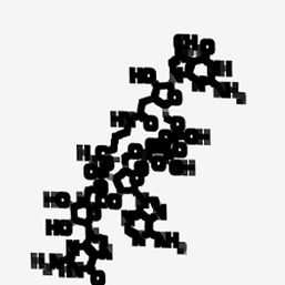 CCCCNC(=O)C[C@H]1[C@@H](O)[C@H](n2c[n+](C)c3c(=O)[nH]c(N)nc32)O[C@@H]1COP(=O)(O)OP(=O)(O)OP(=O)(O)OC[C@H]1O[C@@H](n2cnc3c(N)ncnc32)[C@H](OC)[C@@H]1P(=O)([O-])OC[C@H]1O[C@@H](n2cnc3c(=O)[nH]c(N)nc32)[C@H](O)[C@@H]1O